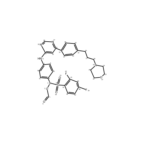 O=CON(c1ccc(Nc2cc(-c3ccc(CCCN4CCOCC4)cc3)ncn2)cc1)S(=O)(=O)c1ccc(F)cc1F